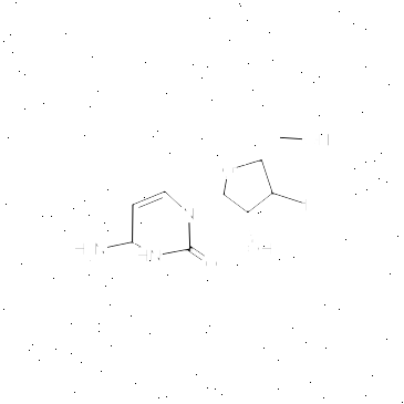 NC1C=CN([C@@H]2O[C@H](CO)C(F)[C@@H]2O)C(=O)N1